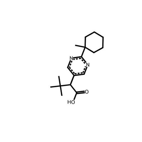 CC1(c2ncc(C(C(=O)O)C(C)(C)C)cn2)CCCCC1